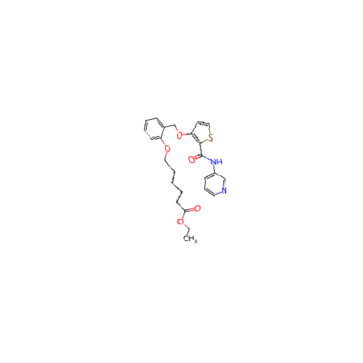 CCOC(=O)CCCCCOc1ccccc1COc1ccsc1C(=O)Nc1cccnc1